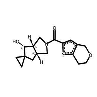 O=C(c1cc2c(s1)CCOC2)N1C[C@@H]2CC3(CC3)[C@H](O)[C@@H]2C1